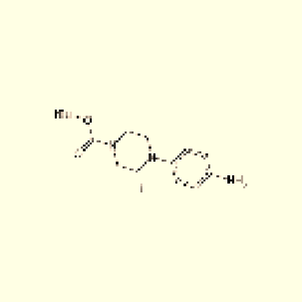 C[C@@H]1CN(C(=O)OC(C)(C)C)CCN1c1ccc(N)cc1